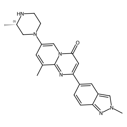 Cc1cc(N2CCN[C@@H](C)C2)cn2c(=O)cc(-c3ccc4nn(C)cc4c3)nc12